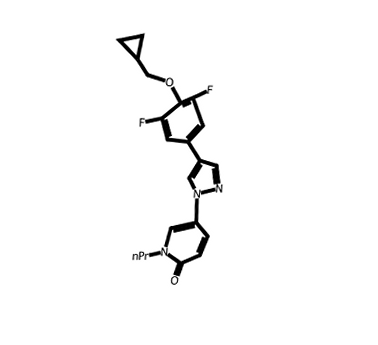 CCCn1cc(-n2cc(-c3cc(F)c(OCC4CC4)c(F)c3)cn2)ccc1=O